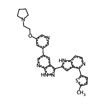 Cc1ccc(-c2nccc3[nH]c(-c4n[nH]c5ncc(-c6cncc(OCCN7CCCC7)c6)cc45)cc23)s1